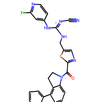 N#C/N=C(\NCc1cnc(C(=O)N2CCc3c(-c4ccccc4)cccc32)s1)Nc1ccnc(F)c1